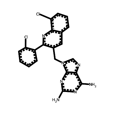 Nc1nc(N)c2ncn(Cc3cc4cccc(Cl)c4nc3-c3ccccc3Cl)c2n1